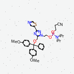 COc1ccc(C(OCc2nc(-c3cncs3)nn2CCOP(OCCC#N)N(C(C)C)C(C)C)(c2ccccc2)c2ccc(OC)cc2)cc1